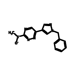 C[S+]([O-])c1ncc(-c2cnn(Cc3ccccc3)c2)nn1